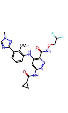 COc1c(Nc2cc(NC(=O)C3CC3)nnc2C(=O)NOCC(F)F)cccc1-c1ncn(C)n1